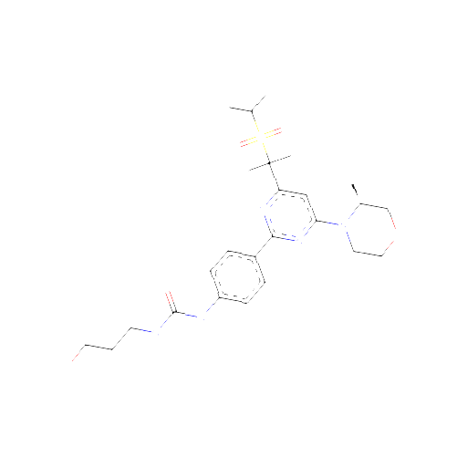 CC(C)S(=O)(=O)C(C)(C)c1cc(N2CCOC[C@@H]2C)nc(-c2ccc(NC(=O)NCCCO)cc2)n1